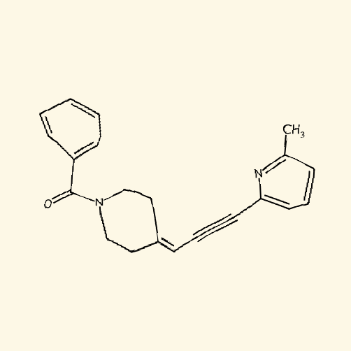 Cc1cccc(C#CC=C2CCN(C(=O)c3ccccc3)CC2)n1